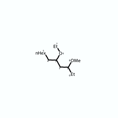 [CH2]CC(CC(CCCCCCC)OCC)OC